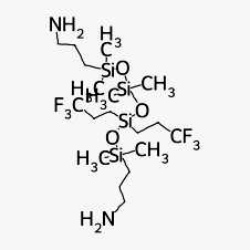 C[Si](C)(CCCN)O[Si](C)(C)O[Si](CCC(F)(F)F)(CCC(F)(F)F)O[Si](C)(C)CCCN